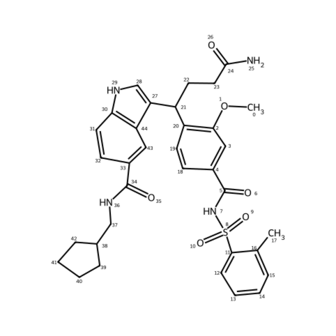 COc1cc(C(=O)NS(=O)(=O)c2ccccc2C)ccc1C(CCC(N)=O)c1c[nH]c2ccc(C(=O)NCC3CCCC3)cc12